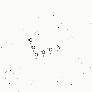 [O].[O].[O].[O].[O].[P]